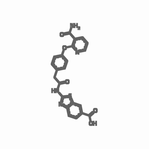 NC(=O)c1cccnc1Oc1ccc(CC(=O)Nc2nc3ccc(C(=O)O)cc3s2)cc1